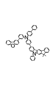 CC1(C)c2ccccc2-c2cc3c4cc(-c5ccc(N(c6ccc(-c7ccccc7)cc6)c6cccc(-c7ccc8oc9ccccc9c8c7)c6)cc5)ccc4n(-c4ccccc4)c3cc21